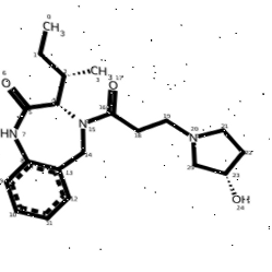 CC[C@H](C)[C@H]1C(=O)Nc2ccccc2CN1C(=O)CCN1CC[C@H](O)C1